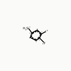 Fc1ccc([SiH3])cc1I